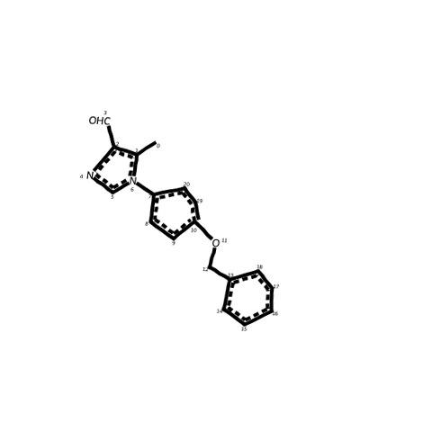 Cc1c(C=O)ncn1-c1ccc(OCc2ccccc2)cc1